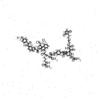 Cc1cccc2c(OC(=O)N(CCCNC(N)=O)CCN(C)C(=O)OCc3ccc(NC(=O)[C@H](CCCNC(N)=O)NC(=O)[C@@H](NC(=O)OCCOCCN4C(=O)C=CC4=O)C(C)C)cc3)cc3c(c12)[C@H](CCl)CN3C(=O)c1cn2cc(NC(=O)c3ccc(N)cc3)ccc2n1